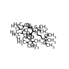 CO[Si](C)(CCCN(C(CC(=O)O[Si](C(C)C)(C(C)C)C(C)C)C(=O)O[Si](C(C)C)(C(C)C)C(C)C)[Si](C)(C)C)OC